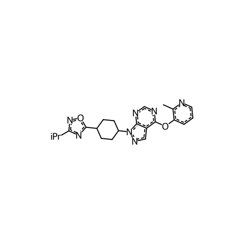 Cc1ncccc1Oc1ncnc2c1cnn2C1CCC(c2nc(C(C)C)no2)CC1